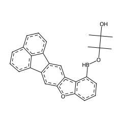 CC(C)(O)C(C)(C)OBc1cccc2oc3cc4c(cc3c12)-c1cccc2cccc-4c12